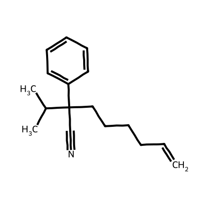 C=CCCCCC(C#N)(c1ccccc1)C(C)C